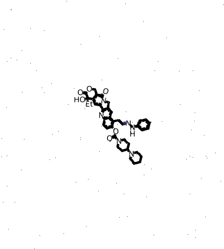 CC[C@@]1(O)C(=O)OCc2c1cc1n(c2=O)Cc2cc3c(C/C=N/Nc4ccccc4)c(OC(=O)N4CCC(N5CCCCC5)CC4)ccc3nc2-1